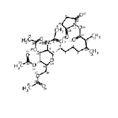 CC(=O)NC1[C@H](CCCCC(C)C(C)C(=O)ON2C(=O)CCC2=O)OC(COC(C)=O)[C@H](OC(C)=O)[C@@H]1OC(C)=O